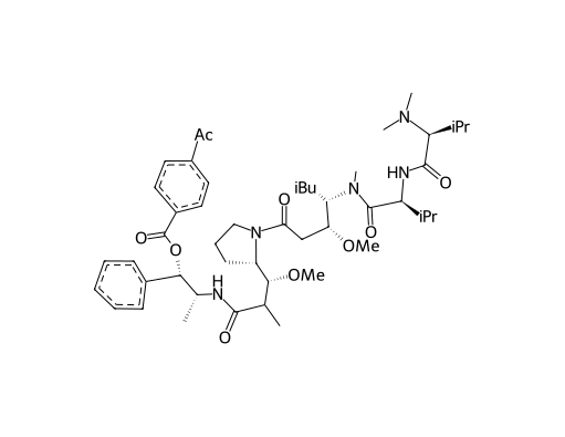 CC[C@@H](C)[C@@H]([C@@H](CC(=O)N1CCC[C@H]1[C@H](OC)C(C)C(=O)N[C@H](C)[C@@H](OC(=O)c1ccc(C(C)=O)cc1)c1ccccc1)OC)N(C)C(=O)[C@@H](NC(=O)[C@H](C(C)C)N(C)C)C(C)C